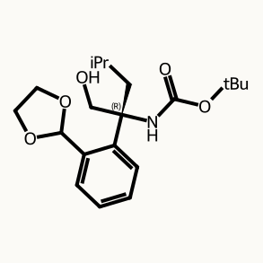 CC(C)C[C@@](CO)(NC(=O)OC(C)(C)C)c1ccccc1C1OCCO1